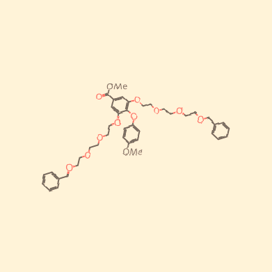 COC(=O)c1cc(OCCOCCOCCOCc2ccccc2)c(Oc2ccc(OC)cc2)c(OCCOCCOCCOCc2ccccc2)c1